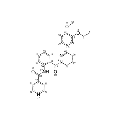 CCOc1cc(C2=NN(C(=O)c3ccccc3NC(=O)c3ccncc3)CCC2)ccc1OC